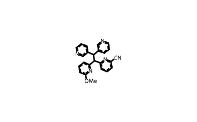 COc1cccc(C(c2cccc(C#N)n2)C(c2cccnc2)c2cccnc2)n1